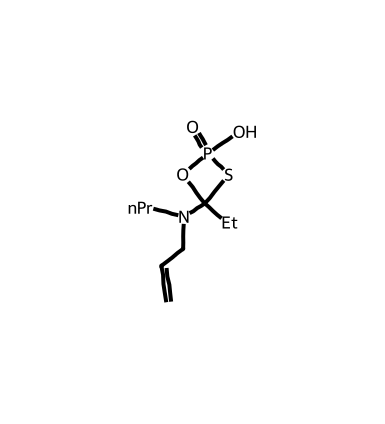 C=CCN(CCC)C1(CC)OP(=O)(O)S1